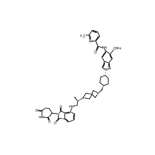 COc1cc2nn([C@H]3CC[C@H](CN4CC5(CC([C@H](C)CNc6cccc7c6C(=O)N(C6CCC(=O)NC6=O)C7=O)C5)C4)CC3)cc2cc1NC(=O)c1cccc(C(F)(F)F)n1